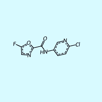 O=C(Nc1ccc(Cl)nc1)c1ncc(F)o1